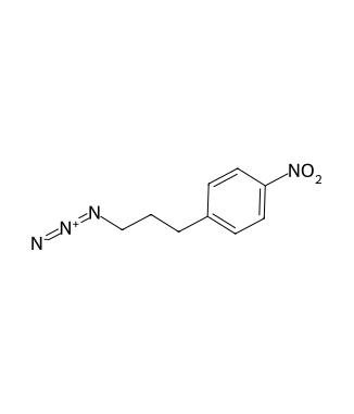 [N-]=[N+]=NCCCc1ccc([N+](=O)[O-])cc1